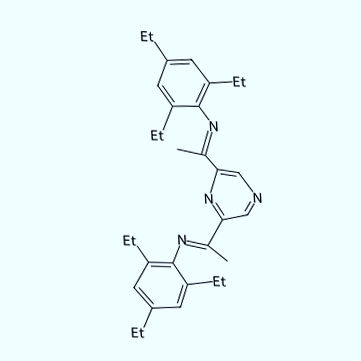 CCc1cc(CC)c(/N=C(\C)c2cncc(/C(C)=N/c3c(CC)cc(CC)cc3CC)n2)c(CC)c1